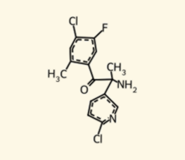 Cc1cc(Cl)c(F)cc1C(=O)C(C)(N)c1ccc(Cl)nc1